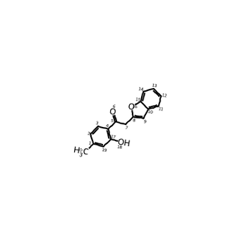 Cc1ccc(C(=O)Cc2cc3ccccc3o2)c(O)c1